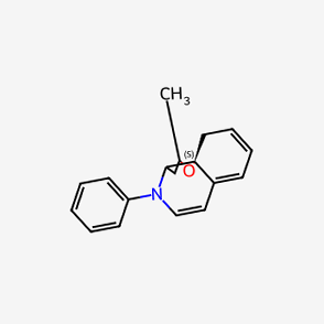 CC1CC2N(c3ccccc3)C=CC3=CC=CC[C@]32O1